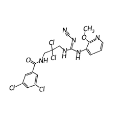 COc1ncccc1NC(=NC#N)NCC(Cl)(Cl)CNC(=O)c1cc(Cl)cc(Cl)c1